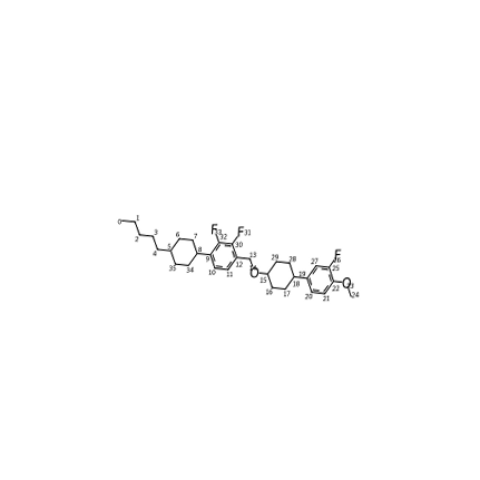 CCCCCC1CCC(c2ccc(COC3CCC(c4ccc(OC)c(F)c4)CC3)c(F)c2F)CC1